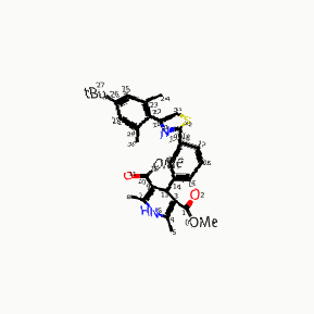 COC(=O)C1=C(C)NC(C)=C(C(=O)OC)C1c1cccc(-c2nc(-c3c(C)cc(C(C)(C)C)cc3C)cs2)c1